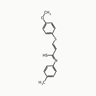 COc1ccc(SC=CC(S)=Nc2ccc(C)cc2)cc1